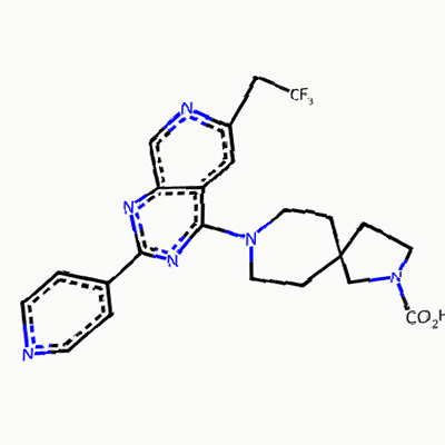 O=C(O)N1CCC2(CCN(c3nc(-c4ccncc4)nc4cnc(CC(F)(F)F)cc34)CC2)C1